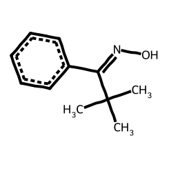 CC(C)(C)C(=NO)c1ccccc1